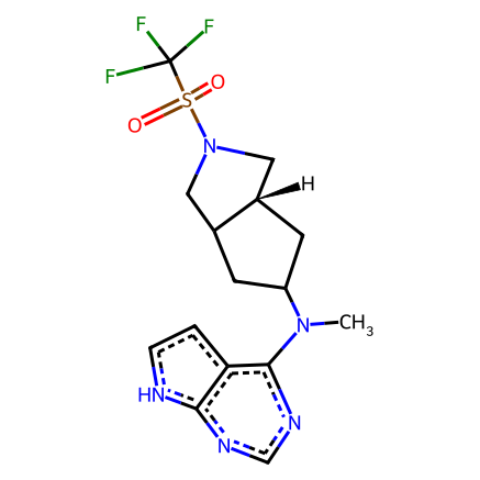 CN(c1ncnc2[nH]ccc12)C1CC2CN(S(=O)(=O)C(F)(F)F)C[C@@H]2C1